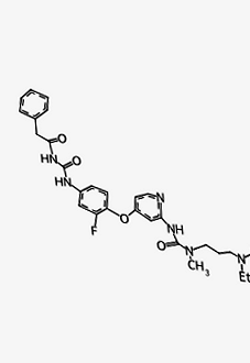 CCN(CC)CCCN(C)C(=O)Nc1cc(Oc2ccc(NC(=O)NC(=O)Cc3ccccc3)cc2F)ccn1